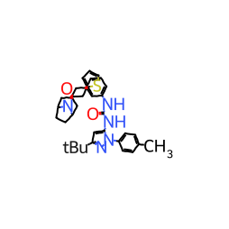 Cc1ccc(-n2nc(C(C)(C)C)cc2NC(=O)Nc2cccc(CC3CC4CCC(C3)N4C(=O)Cc3cccs3)c2)cc1